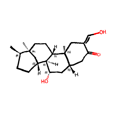 C[C@@H]1CC[C@H]2[C@@H]3[C@@H](O)C[C@H]4CC(=O)C(=CO)C[C@]4(C)[C@H]3CC[C@]12C